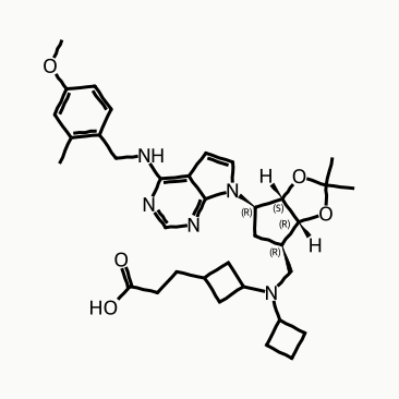 COc1ccc(CNc2ncnc3c2ccn3[C@@H]2C[C@H](CN(C3CCC3)C3CC(CCC(=O)O)C3)[C@H]3OC(C)(C)O[C@H]32)c(C)c1